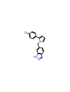 Clc1ccc(-c2c[c]cn2Cc2ccc3cn[nH]c3c2)cc1